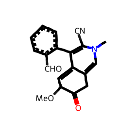 COC1C=C2C(=CN(C)C(C#N)=C2c2ccccc2C=O)CC1=O